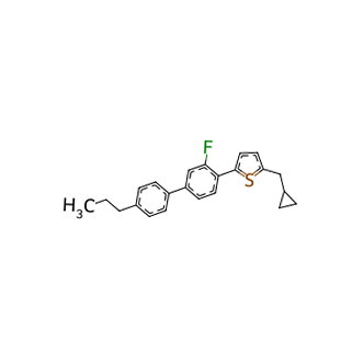 CCCc1ccc(-c2ccc(-c3ccc(CC4CC4)s3)c(F)c2)cc1